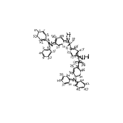 CC1C=CC(N(c2ccccc2)c2ccc(NC(C)(C)c3ccc(NC(C)(C)c4ccc(N(c5ccccc5)c5ccccc5)cc4)cc3)cc2)=CC1